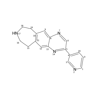 c1cncc(-c2cnc3cc4c(cc3n2)CCNCC4)c1